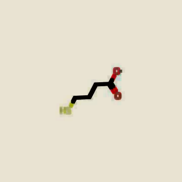 [O]C(=O)CCCS